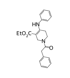 CCOC(=O)C1=C(Nc2ccccc2)CCN(C(=O)Cc2ccccc2)C1